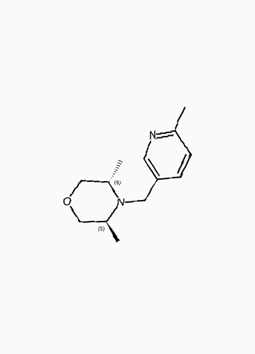 Cc1ccc(CN2[C@@H](C)COC[C@@H]2C)cn1